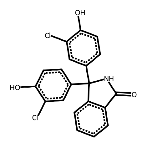 O=C1NC(c2ccc(O)c(Cl)c2)(c2ccc(O)c(Cl)c2)c2ccccc21